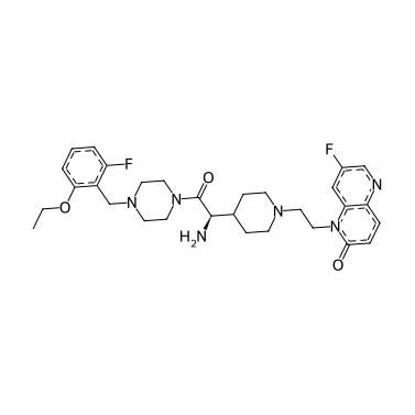 CCOc1cccc(F)c1CN1CCN(C(=O)[C@H](N)C2CCN(CCn3c(=O)ccc4ncc(F)cc43)CC2)CC1